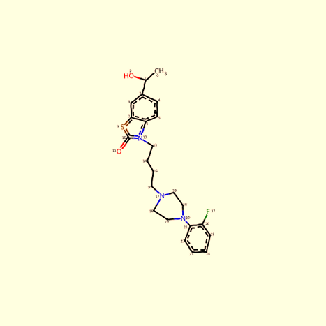 CC(O)c1ccc2c(c1)sc(=O)n2CCCCN1CCN(c2ccccc2F)CC1